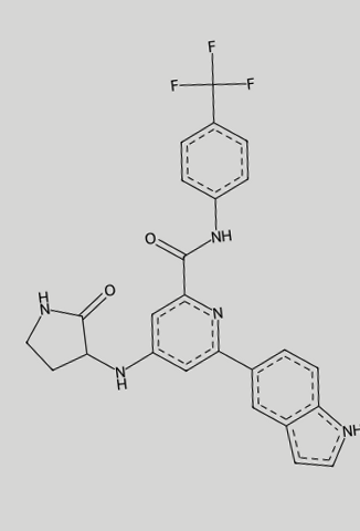 O=C(Nc1ccc(C(F)(F)F)cc1)c1cc(NC2CCNC2=O)cc(-c2ccc3[nH]ccc3c2)n1